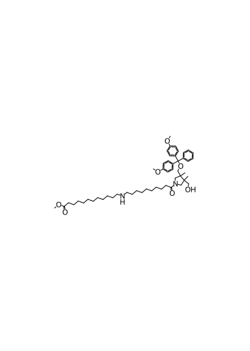 COC(=O)CCCCCCCCCCCNCCCCCCCCCC(=O)N1CC(C)(CO)C(C)(COC(c2ccccc2)(c2ccc(OC)cc2)c2ccc(OC)cc2)C1